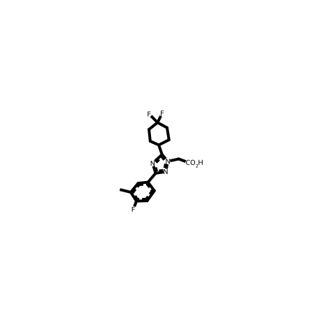 Cc1cc(-c2nc(C3CCC(F)(F)CC3)n(CC(=O)O)n2)ccc1F